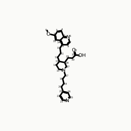 COc1ccc2nccc(CCCC3CCN(CCCCc4ccncc4)CC3CCC(=O)O)c2c1